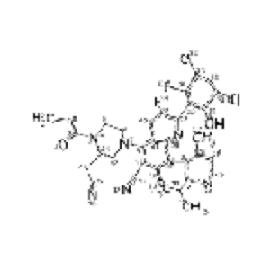 C=CC(=O)N1CCN(c2c(C#N)c(=O)n(-c3c(C)ccnc3C(C)C)c3nc(-c4c(O)c(Cl)cc(Cl)c4F)c(F)cc23)CC1CC#N